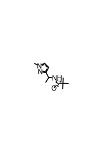 CC(N[S+]([O-])C(C)(C)C)c1ccn(C)n1